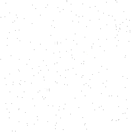 CCCCC(C)C[S]